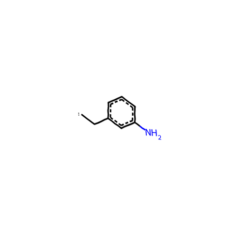 [CH]Cc1cccc(N)c1